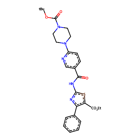 CCOC(=O)c1sc(NC(=O)c2ccc(N3CCN(C(=O)OC(C)(C)C)CC3)nc2)nc1-c1ccccc1